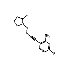 CC1CCCN1CCC#Cc1ccc(Br)cc1N